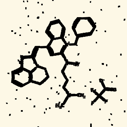 CCCN(CCCN(C)C)c1cc(C=C2Sc3cccc4c3N2CCC4)c2ccccc2[n+]1Cc1ccccc1.O=C([O-])C(F)(F)F